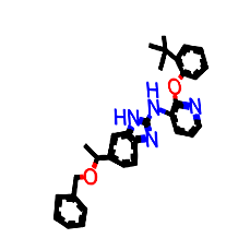 CC(OCc1ccccc1)c1ccc2nc(Nc3cccnc3Oc3ccccc3C(C)(C)C)[nH]c2c1